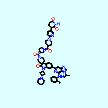 CC(C)n1cnc2cc(-c3ccc4c(c3)N([C@H]3C[C@@H](N5CCCCC5)C3)C(=O)C43CCN(C(=O)[C@H]4CCN(C(=O)C5CCN(c6ccc(C7CCC(=O)NC7=O)cn6)CC5)C4)CC3)nc(Nc3ccccc3F)c21